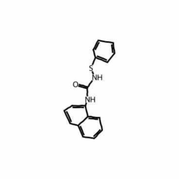 O=C(NSc1ccccc1)Nc1cccc2ccccc12